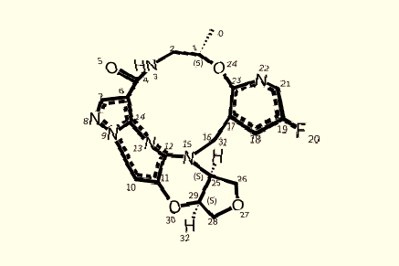 C[C@H]1CNC(=O)c2cnn3cc4c(nc23)N(Cc2cc(F)cnc2O1)[C@H]1COC[C@H]1O4